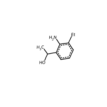 CCc1cccc(C(C)O)c1N